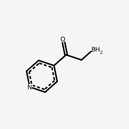 BCC(=O)c1ccncc1